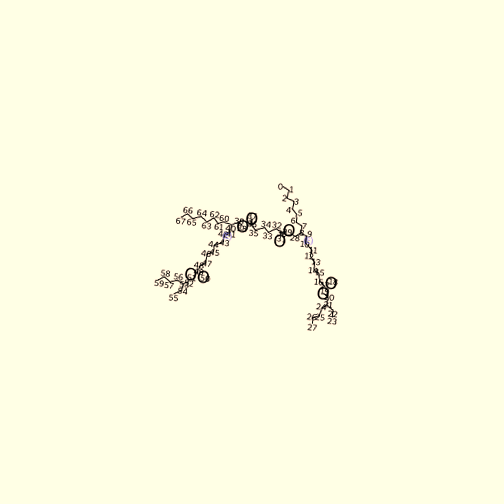 CCCCCCCCC(/C=C/CCCCCCC(=O)OCC(CC)CCCC)COC(=O)CCCCC(=O)OCC(/C=C/CCCCCCC(=O)OCC(CC)CCCC)CCCCCCCC